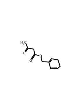 CC(=O)CC(=O)OCC1=CCCC=C1